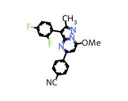 COc1cc(-c2ccc(C#N)cc2)nc2c(-c3ccc(F)cc3F)c(C)nn12